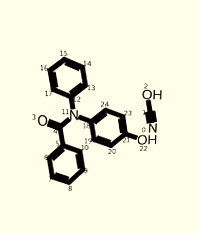 N#CO.O=C(c1ccccc1)N(c1ccccc1)c1ccc(O)cc1